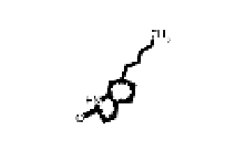 CCCCCc1ccc2ccc(=O)[nH]c2c1